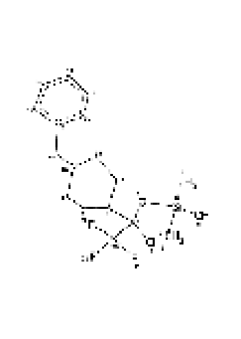 CC(O[Si](C)(C)C)(C1CCN(Cc2ccccc2)CC1)C(F)(F)F